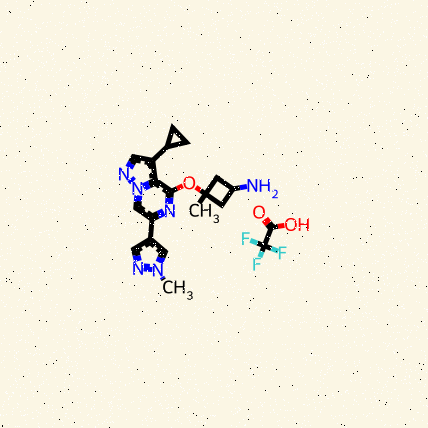 Cn1cc(-c2cn3ncc(C4CC4)c3c(OC3(C)CC(N)C3)n2)cn1.O=C(O)C(F)(F)F